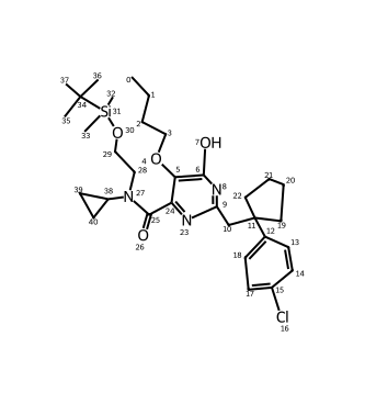 CCCCOc1c(O)nc(CC2(c3ccc(Cl)cc3)CCCC2)nc1C(=O)N(CCO[Si](C)(C)C(C)(C)C)C1CC1